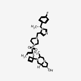 C/C=C(\S[C@@]1(N2C[C@@H]3C[C@@H](O)CN3CC2C)C=CC1)S(=O)(=O)N1CCN(Cc2cncn2[C@H](C)c2ccc(F)cc2)CC1